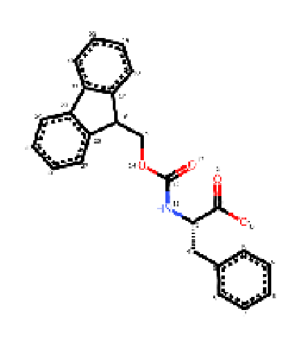 [O]C(=O)[C@H](Cc1ccccc1)NC(=O)OCC1c2ccccc2-c2ccccc21